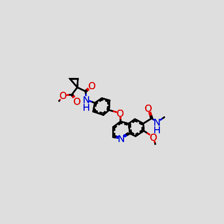 CNC(=O)c1cc2c(Oc3ccc(NC(=O)C4(C(=O)OC)CC4)cc3)ccnc2cc1OC